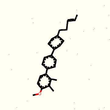 C/C=C/CCc1ccc(-c2ccc(-c3ccc(OC)c(C)c3C)cc2)cc1